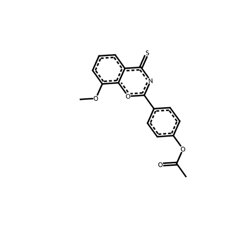 COc1cccc2c(=S)nc(-c3ccc(OC(C)=O)cc3)oc12